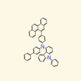 c1ccc(-c2ccc(N(c3ccc(-c4cc5ccccc5c5ccc6ccccc6c45)cc3)c3cccc4c3c3ccccc3n4-c3ccccc3)cc2)cc1